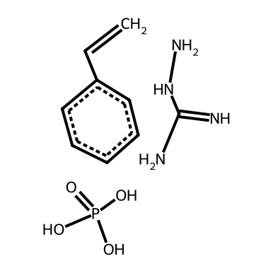 C=Cc1ccccc1.N=C(N)NN.O=P(O)(O)O